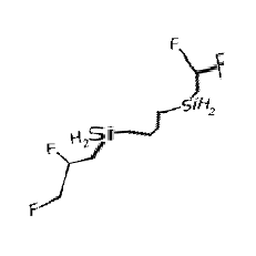 FCC(F)C[SiH2]CC[SiH2]C(F)F